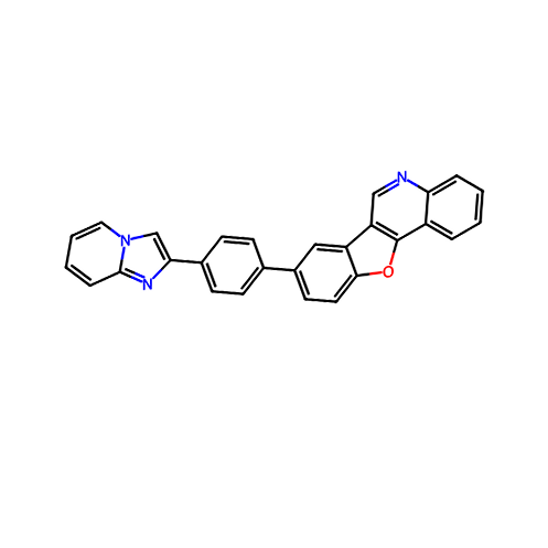 c1ccc2c(c1)ncc1c3cc(-c4ccc(-c5cn6ccccc6n5)cc4)ccc3oc21